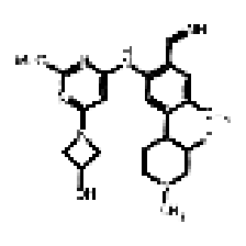 COc1nc(Nc2cc(C3CCN(C)CC3F)c(C)cc2C=N)cc(N2CC(O)C2)n1